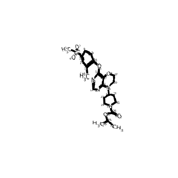 Cc1cc(S(C)(=O)=O)ccc1Oc1ncnc2c1OCCN2C1CCN(C(=O)OC(C)C)CC1